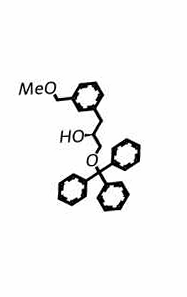 COCc1cccc(C[C@H](O)COC(c2ccccc2)(c2ccccc2)c2ccccc2)c1